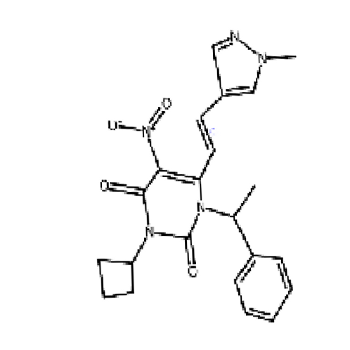 CC(c1ccccc1)n1c(/C=C/c2cnn(C)c2)c([N+](=O)[O-])c(=O)n(C2CCC2)c1=O